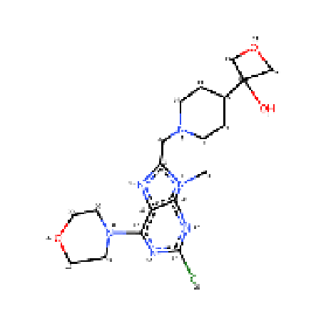 Cn1c(CN2CCC(C3(O)COC3)CC2)nc2c(N3CCOCC3)nc(Cl)nc21